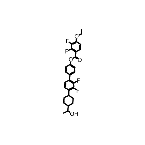 CCOc1ccc(C(=O)Oc2ccc(-c3ccc(C4CCC(C(C)O)CC4)c(F)c3F)cc2)c(F)c1F